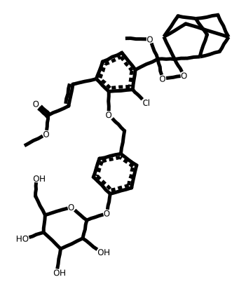 COC(=O)/C=C/c1ccc(C2(OC)OOC23C2CC4CC(C2)CC3C4)c(Cl)c1OCc1ccc(OC2OC(CO)C(O)C(O)C2O)cc1